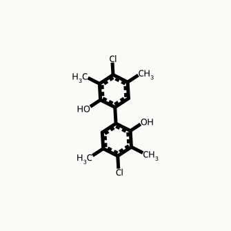 Cc1cc(-c2cc(C)c(Cl)c(C)c2O)c(O)c(C)c1Cl